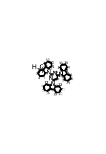 CC12C=CC=CC1N(c1nc(-n3c4ccccc4c4ccccc43)cc(-n3c4ccccc4c4ccccc43)n1)c1ccccc12